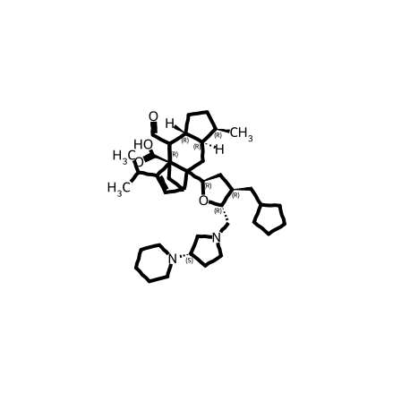 CC(C)C1=CC2CC3(C=O)[C@@H]4CC[C@@H](C)[C@H]4CC2([C@H]2C[C@@H](CC4CCCC4)[C@H](CN4CC[C@H](N5CCCCC5)C4)O2)[C@]13C(=O)O